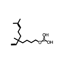 C=CC(C)(CCC=C(C)C)CCCCOB(O)O